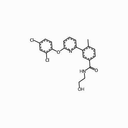 Cc1ccc(C(=O)NCCO)cc1-c1cccc(Oc2ccc(Cl)cc2Cl)n1